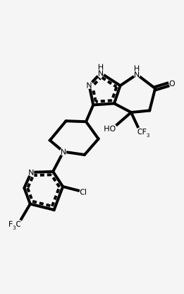 O=C1CC(O)(C(F)(F)F)c2c(C3CCN(c4ncc(C(F)(F)F)cc4Cl)CC3)n[nH]c2N1